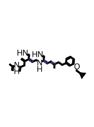 C=C(C)NC(C)CC(=C)/C(C=N)=C/CN/C(C=N)=C/C=C(\C)CCc1cccc(OCC2CC2)c1